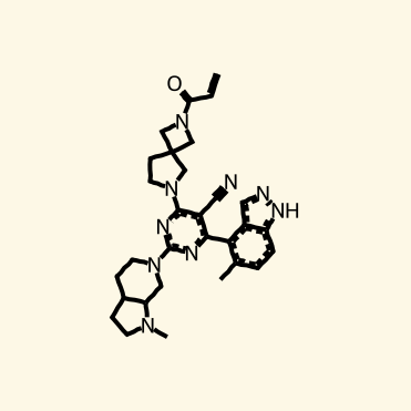 C=CC(=O)N1CC2(CCN(c3nc(N4CCC5CCN(C)C5C4)nc(-c4c(C)ccc5[nH]ncc45)c3C#N)C2)C1